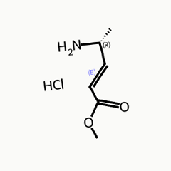 COC(=O)/C=C/[C@@H](C)N.Cl